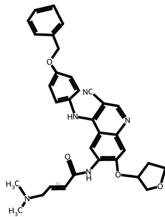 CN(C)C/C=C/C(=O)Nc1cc2c(Nc3ccc(OCc4ccccc4)cc3)c(C#N)cnc2cc1OC1CCOC1